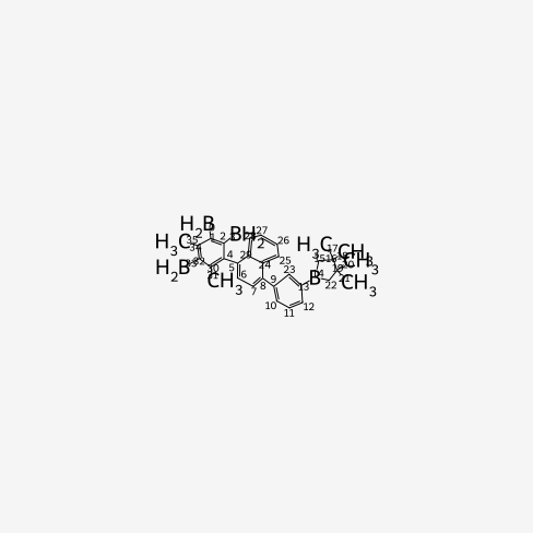 Bc1c(B)c(-c2ccc(-c3cccc(B4CC(C)(C)C(C)(C)C4)c3)c3ccccc23)c(C)c(B)c1C